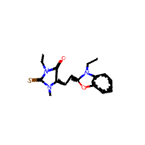 CCN1C(=O)/C(=C\C=C2/Oc3ccccc3N2CC)N(C)C1=S